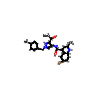 COC(=O)c1nn(Cc2ccc(C#N)cc2)cc1NC(=O)c1cc(C(F)(F)F)nc2ccc(Br)cc12